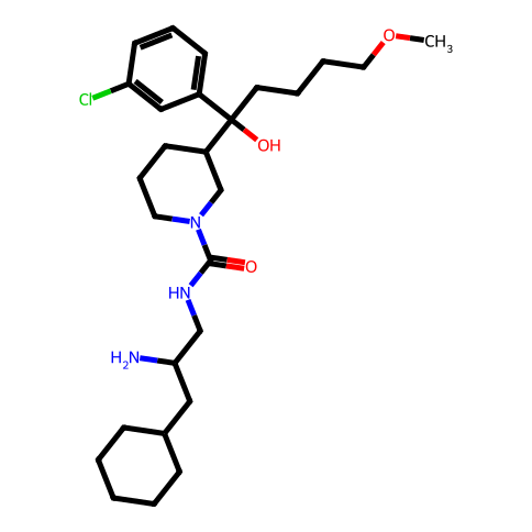 COCCCCC(O)(c1cccc(Cl)c1)C1CCCN(C(=O)NCC(N)CC2CCCCC2)C1